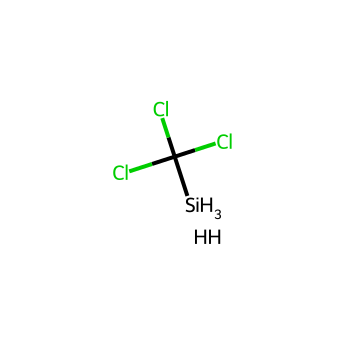 [HH].[SiH3]C(Cl)(Cl)Cl